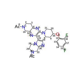 CC(=O)N1CCc2nc(N3CCC(Oc4ccc(F)cc4F)CC3)c(-c3cnc4n3CCN(C(C)=O)C4)nc2C1